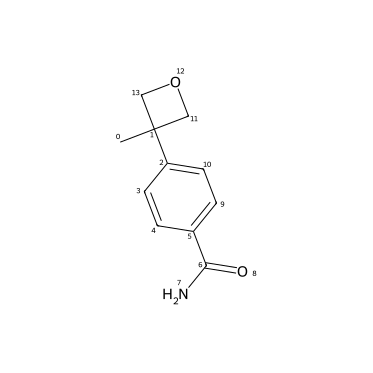 CC1(c2ccc(C(N)=O)cc2)COC1